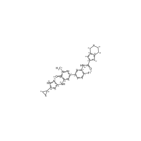 Cn1nc(-c2ccc(F)c(NC(=O)c3cc4c(s3)CCCC4)c2)cc(Nc2cc(C3CC3)[nH]n2)c1=O